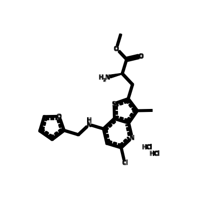 COC(=O)[C@H](N)Cc1sc2c(NCc3ccco3)cc(Cl)nc2c1C.Cl.Cl